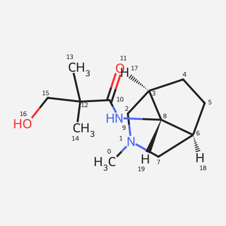 CN1C[C@H]2CC[C@@H](C1)[C@@H]2NC(=O)C(C)(C)CO